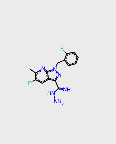 Cc1nc2c(cc1F)c(C(=N)NN)nn2Cc1ccccc1F